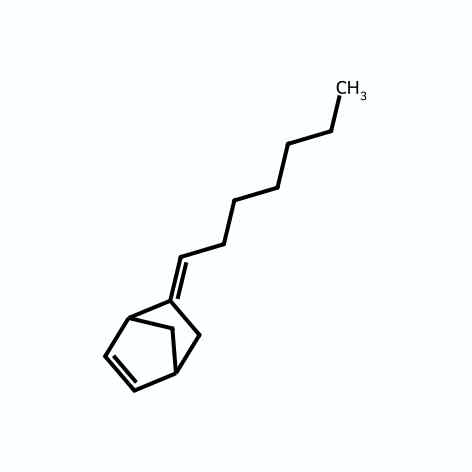 CCCCCCC=C1CC2C=CC1C2